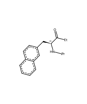 CCC(=O)[C@H](Cc1ccc2ccccc2c1)NC(C)C